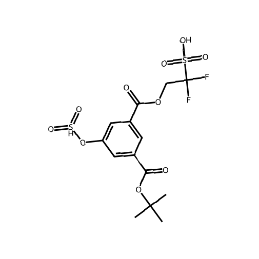 CC(C)(C)OC(=O)c1cc(O[SH](=O)=O)cc(C(=O)OCC(F)(F)S(=O)(=O)O)c1